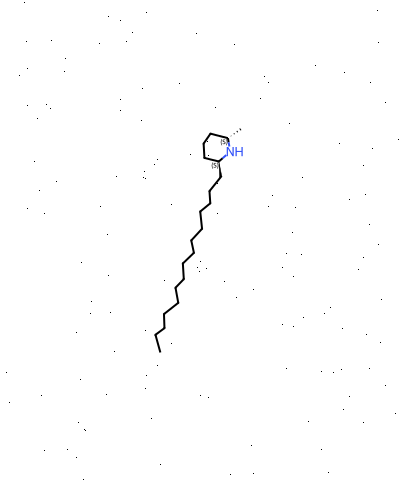 CCCCCCCCCCCCCCC[C@H]1CCC[C@H](C)N1